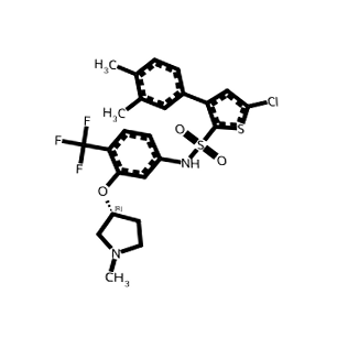 Cc1ccc(-c2cc(Cl)sc2S(=O)(=O)Nc2ccc(C(F)(F)F)c(O[C@@H]3CCN(C)C3)c2)cc1C